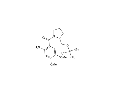 COc1cc(N)c(C(=O)N2CCCC2CO[Si](C)(C)C(C)(C)C)cc1OC